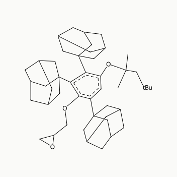 CC(C)(C)CC(C)(C)Oc1cc(C23CC4CC(CC(C4)C2)C3)c(OCC2CO2)c(C23CC4CC(CC(C4)C2)C3)c1C12CC3CC(CC(C3)C1)C2